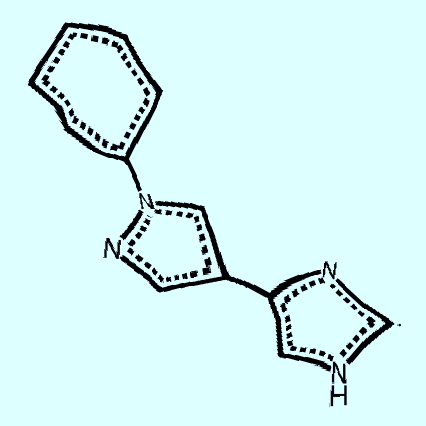 [c]1nc(-c2cnn(-c3ccccc3)c2)c[nH]1